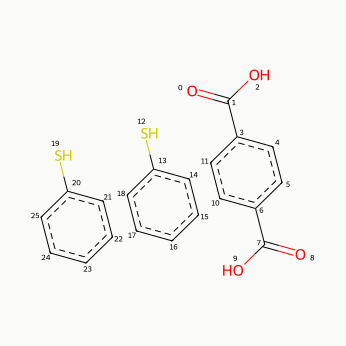 O=C(O)c1ccc(C(=O)O)cc1.Sc1ccccc1.Sc1ccccc1